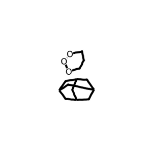 C1C2CC3CC1CC(C2)C3.C1COOOC1